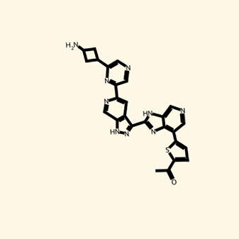 CC(=O)c1ccc(-c2cncc3[nH]c(-c4n[nH]c5cnc(-c6cncc(C7CC(N)C7)n6)cc45)nc23)s1